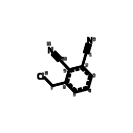 N#Cc1cccc(CCl)c1C#N